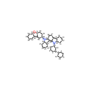 c1ccc(-c2cccc(-n3c4ccccc4c4ccc5c(c6ccccc6n5-c5ccc6oc7ccccc7c6c5)c43)c2)cc1